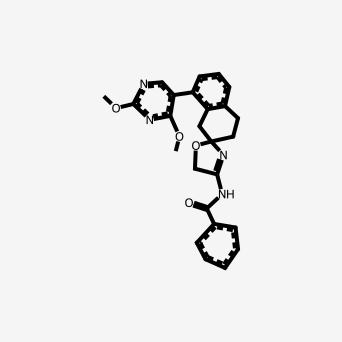 COc1ncc(-c2cccc3c2CC2(CC3)N=C(NC(=O)c3ccccc3)CO2)c(OC)n1